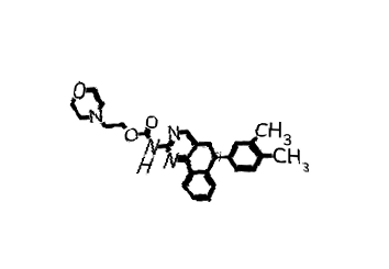 Cc1ccc([C@@H]2Cc3cnc(NC(=O)OCCN4CCOCC4)nc3-c3ccccc32)cc1C